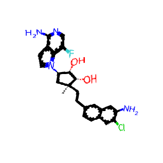 C[C@]1(CCc2ccc3cc(Cl)c(N)cc3c2)C[C@@H](n2ccc3c(N)ncc(F)c32)[C@H](O)[C@@H]1O